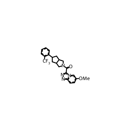 COc1ccc2nnc(C(=O)N3CC4CC(c5ccccc5C(F)(F)F)CC4C3)n2c1